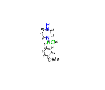 COc1ccc(CCN2CCCNCC2)cc1.Cl